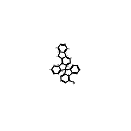 Brc1cccc2c1-c1ccccc1C21c2ccccc2-c2c1ccc1c2Cc2ccccc2-1